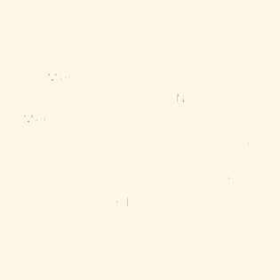 COc1cc2c(CO)cc3c4cc5c(cc4ncc3c2cc1OC)OCO5